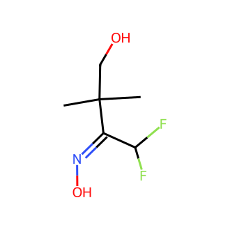 CC(C)(CO)C(=NO)C(F)F